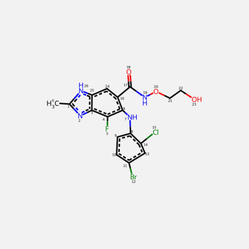 Cc1nc2c(F)c(Nc3ccc(Br)cc3Cl)c(C(=O)NOCCO)cc2[nH]1